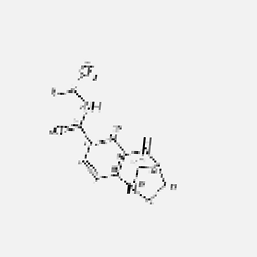 C[C@@H](NC(=O)c1ccc2c(n1)NC1CCN2C1)C(F)(F)F